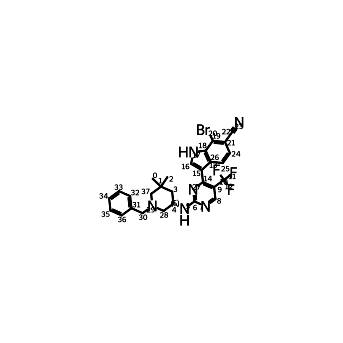 CC1(C)C[C@H](Nc2ncc(C(F)(F)F)c(-c3c[nH]c4c(Br)c(C#N)ccc34)n2)CN(Cc2ccccc2)C1